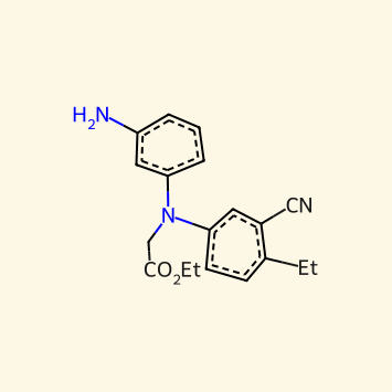 CCOC(=O)CN(c1cccc(N)c1)c1ccc(CC)c(C#N)c1